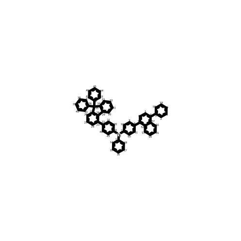 c1ccc(-c2ccc(-c3ccc(N(c4ccccc4)c4ccc(-c5cccc6c5-c5ccccc5C6(c5ccccc5)c5ccccc5)cc4)cc3)c3ccccc23)cc1